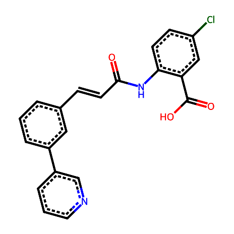 O=C(/C=C/c1cccc(-c2cccnc2)c1)Nc1ccc(Cl)cc1C(=O)O